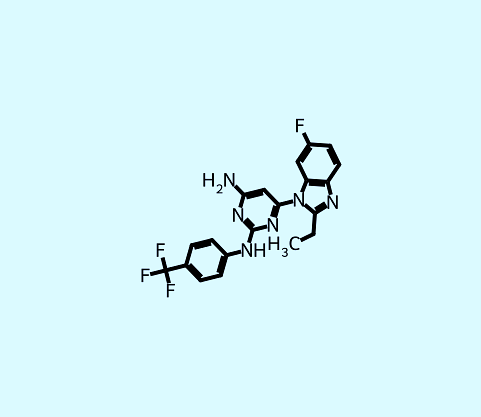 CCc1nc2ccc(F)cc2n1-c1cc(N)nc(Nc2ccc(C(F)(F)F)cc2)n1